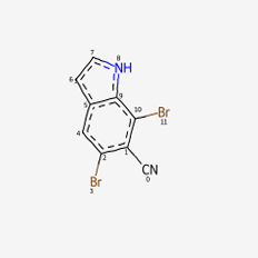 N#Cc1c(Br)cc2[c]c[nH]c2c1Br